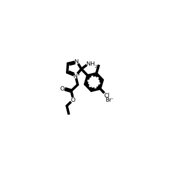 CCOC(=O)C[N+]1=CC=NC1(N)c1ccc(Cl)cc1C.[Br-]